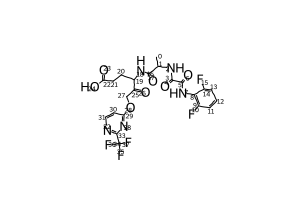 CC(NC(=O)C(=O)Nc1c(F)cccc1F)C(=O)NC(CCC(=O)O)C(=O)COc1ccnc(C(F)(F)F)n1